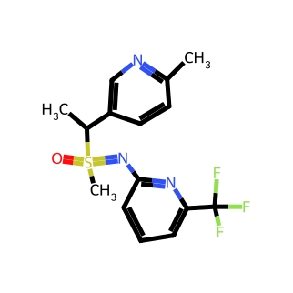 Cc1ccc(C(C)S(C)(=O)=Nc2cccc(C(F)(F)F)n2)cn1